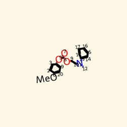 COc1ccc(OC(=O)OCCN(C)c2ccccc2)cc1